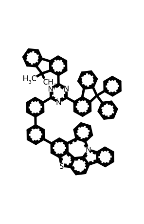 CC1(C)c2ccccc2-c2cccc(-c3nc(-c4cccc(-c5cccc(-c6cc7sc8ccc9c%10ccccc%10n%10c%11ccccc%11c(c6)c7c8c9%10)c5)c4)nc(-c4cccc5c4-c4ccccc4C5(c4ccccc4)c4ccccc4)n3)c21